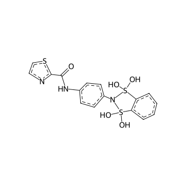 O=C(Nc1ccc(N2S(O)(O)c3ccccc3S2(O)O)cc1)c1nccs1